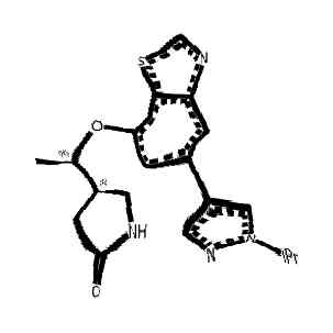 CC(C)n1cc(-c2cc(O[C@H](C)[C@H]3CNC(=O)C3)c3scnc3c2)cn1